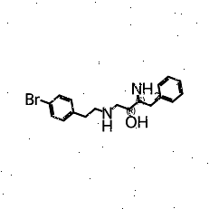 N[C@@H](Cc1ccccc1)[C@H](O)CNCCc1ccc(Br)cc1